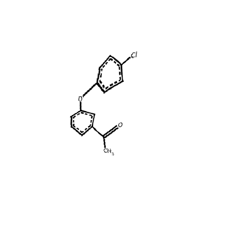 CC(=O)c1cccc(Oc2ccc(Cl)cc2)c1